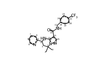 CC1(C)CC(c2ccccn2)Nc2c(C(=O)NCc3ccc(C(F)(F)F)cc3)cnn21